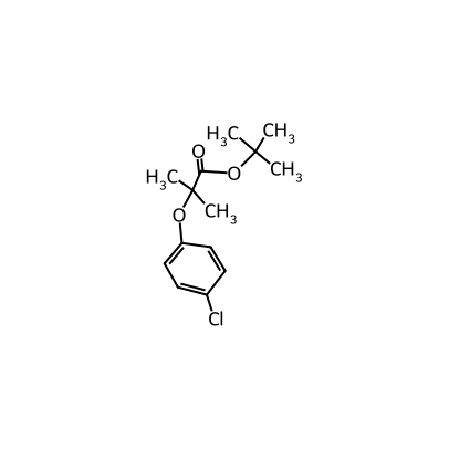 CC(C)(C)OC(=O)C(C)(C)Oc1ccc(Cl)cc1